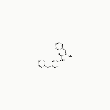 CCCCN(Cc1ccccc1)C(=O)Nc1ccc(Cc2ccccc2)cc1